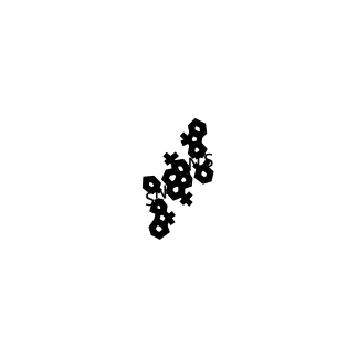 CC(C)(C)c1cc(N2c3ccccc3Sc3cc4c(cc32)C(C)(C)c2ccccc2-4)c2ccc3c(C(C)(C)C)cc(N4c5ccccc5Sc5cc6c(cc54)C(C)(C)c4ccccc4-6)c4ccc1c2c43